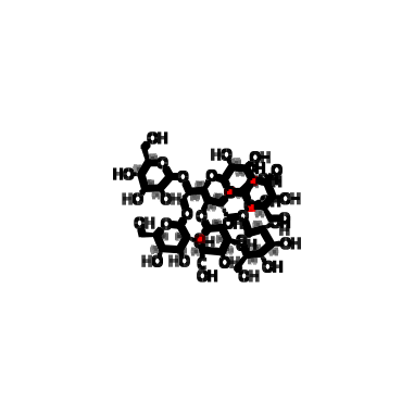 OC[C@H]1OC(OC[C@H](OC2O[C@H](CO)[C@@H](O)[C@H](O)[C@H]2O)[C@@H](OC2O[C@H](CO)[C@@H](O)[C@H](O)[C@H]2O)[C@H](OC2O[C@H](CO)[C@@H](O)[C@H](O)[C@H]2O)[C@@H](COC2O[C@H](CO)[C@@H](O)[C@H](O)[C@H]2O)OC2O[C@H](CO)[C@@H](O)[C@H](O)[C@H]2O)[C@H](O)[C@@H](O)[C@@H]1O